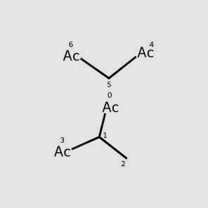 CC(=O)C(C)C(C)=O.CC(=O)CC(C)=O